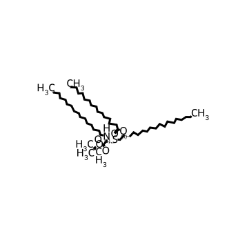 CCCCCCCCCCCCCCCC[C@H](CSC[C@@H](NC(=O)CCCCCCCCCCCCCCC)C(=O)OC(C)(C)C)OC(=O)CCCCCCCCCCCCCCC